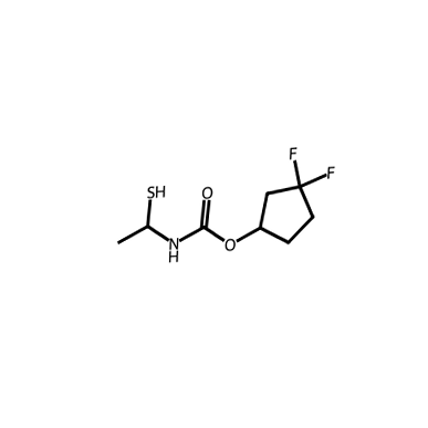 CC(S)NC(=O)OC1CCC(F)(F)C1